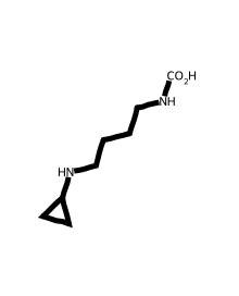 O=C(O)NCCCCNC1CC1